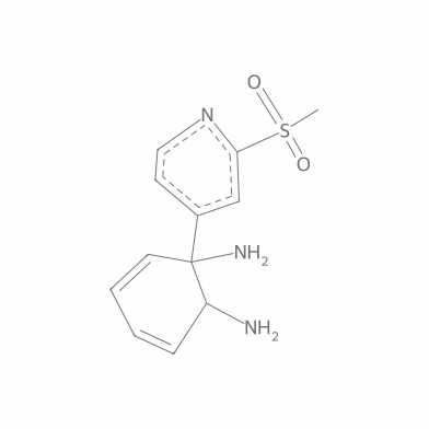 CS(=O)(=O)c1cc(C2(N)C=CC=CC2N)ccn1